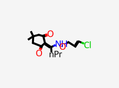 CCCC(NOCC=CCl)=C1C(=O)CC(C)(C)CC1=O